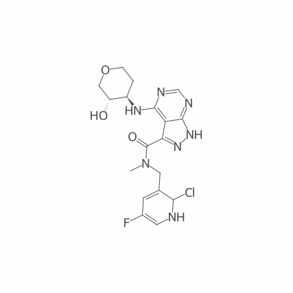 CN(CC1=CC(F)=CNC1Cl)C(=O)c1n[nH]c2ncnc(N[C@@H]3CCOC[C@H]3O)c12